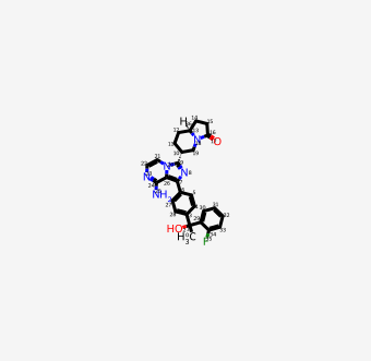 CC(O)(c1ccc(-c2nc([C@@H]3CC[C@H]4CCC(=O)N4C3)n3ccnc(N)c23)cc1)c1ccccc1F